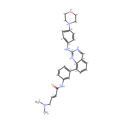 CN(C)C/C=C/C(=O)Nc1cccc(-c2cccc3cnc(Nc4ccc(N5CCOCC5)cc4)nc23)c1